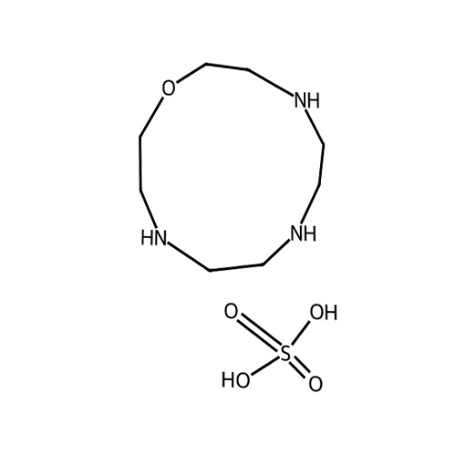 C1CNCCOCCNCCN1.O=S(=O)(O)O